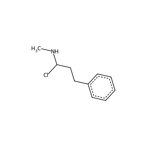 CNC(Cl)CCc1ccccc1